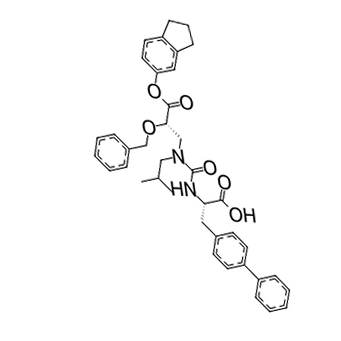 CC(C)CN(C[C@H](OCc1ccccc1)C(=O)Oc1ccc2c(c1)CCC2)C(=O)N[C@@H](Cc1ccc(-c2ccccc2)cc1)C(=O)O